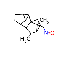 CC1C2CCC3(C1C1CCC4C1C43)C2(C)CN=O